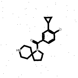 O=C(c1ccc(Cl)c(C2CC2)c1)N1CCCC12CCNCC2